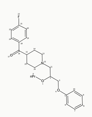 CCCOC(COc1ccccc1)CN1CCC(C(=O)c2ccc(F)cc2)CC1